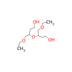 CCOCC(CCO)OC(CCO)COCC